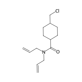 C=CCN(CC=C)C(=O)C1CCC(CCl)CC1